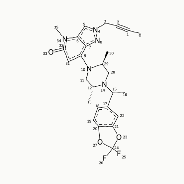 CC#CCn1cc2c(n1)c(N1C[C@@H](C)N(C(C)c3ccc4c(c3)OC(F)(F)O4)C[C@@H]1C)cc(=O)n2C